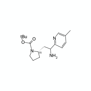 Cc1ccc(C(N)C[C@@H]2CCCN2C(=O)OC(C)(C)C)nc1